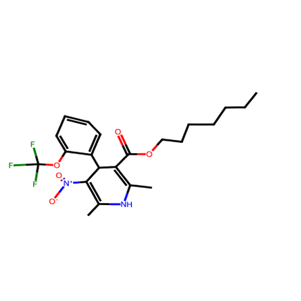 CCCCCCCOC(=O)C1=C(C)NC(C)=C([N+](=O)[O-])C1c1ccccc1OC(F)(F)F